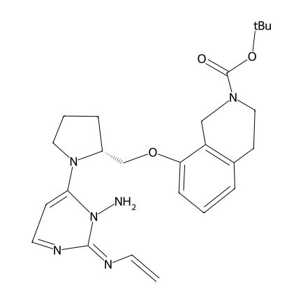 C=C/N=c1/nccc(N2CCC[C@@H]2COc2cccc3c2CN(C(=O)OC(C)(C)C)CC3)n1N